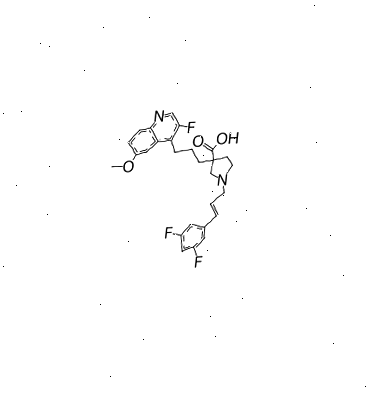 COc1ccc2ncc(F)c(CCCC3(C(=O)O)CCN(CC=Cc4cc(F)cc(F)c4)C3)c2c1